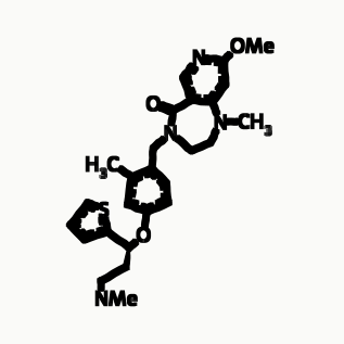 CNCC[C@H](Oc1ccc(CN2CCN(C)c3cc(OC)ncc3C2=O)c(C)c1)c1cccs1